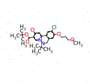 COCCCOc1cc2c(cc1Cl)-c1cc(=O)c(C(=O)OC(C)(C)C)cn1N(C(C)(C)C)C2